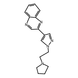 c1ccc2nc(-c3cnn(CCN4CCCC4)c3)cnc2c1